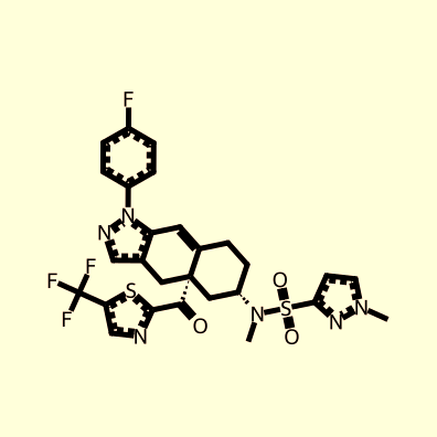 CN([C@H]1CCC2=Cc3c(cnn3-c3ccc(F)cc3)C[C@]2(C(=O)c2ncc(C(F)(F)F)s2)C1)S(=O)(=O)c1ccn(C)n1